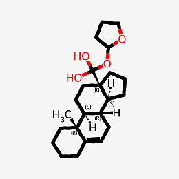 C[C@]12CCCCC1=CC[C@H]1[C@@H]3CCC[C@@]3(C(O)(O)OC3CCCO3)CC[C@@H]12